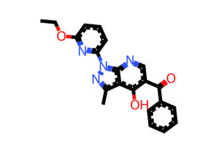 CCOc1cccc(-n2nc(C)c3c(O)c(C(=O)c4ccccc4)cnc32)n1